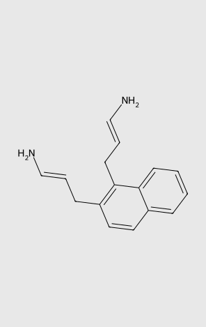 NC=CCc1ccc2ccccc2c1CC=CN